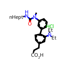 CCCCCCCNC(=O)N(C)c1cccc(-c2ccc(CCC(=O)O)cc2N(CC)CC)c1.Cl